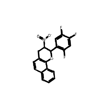 O=[N+]([O-])C1Cc2ccc3ccccc3c2OC1c1cc(F)c(F)cc1F